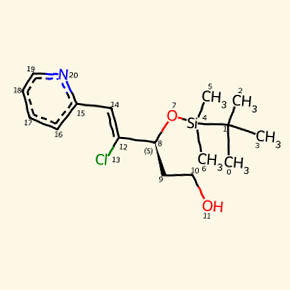 CC(C)(C)[Si](C)(C)O[C@@H](CCO)C(Cl)=Cc1ccccn1